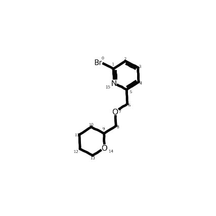 Brc1cccc(COCC2CCCCO2)n1